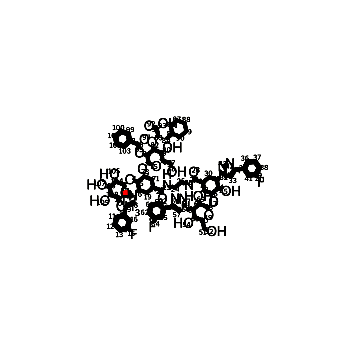 CC1O[C@@H](OC2C(n3cc(-c4cccc(F)c4)nn3)CC(C(=O)NCCNC(=O)C3CC(n4cc(-c5cccc(F)c5)nn4)C(O)[C@H](O[C@@H]4OC(CO)[C@H](O)C(n5cc(-c6cccc(F)c6)nn5)C4O)C3)C[C@H]2O[C@@H]2OC(CO)[C@H](O)C(O[C@@H](CC3CCCCC3)C(=O)O)C2OC(=O)c2ccccc2)C(O)C(O)[C@@H]1O